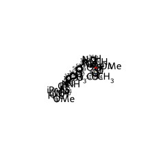 COC(=O)N[C@H](C(=O)N1[C@@H](C)CC[C@H]1c1nc2ccc3cc4c(cc3c2[nH]1)OCc1cc(-c2cnc([C@@H]3CC[C@H](C)N3C(=O)[C@@H](NC(=O)OC)[C@H]3C[C@@H](C)O[C@@H](C)C3)[nH]2)ccc1-4)C(C)C